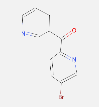 O=C(c1cccnc1)c1ccc(Br)cn1